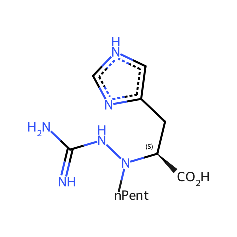 CCCCCN(NC(=N)N)[C@@H](Cc1c[nH]cn1)C(=O)O